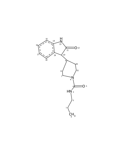 CCCNC(=O)N1CCC(C2C(=O)Nc3ccccc32)CC1